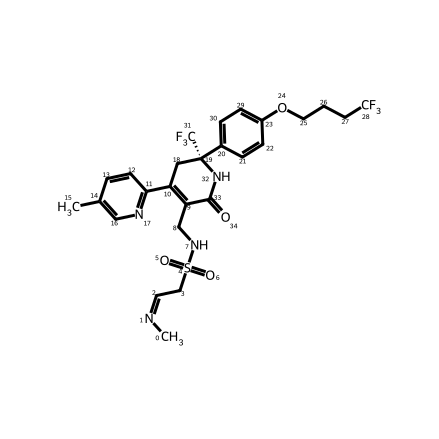 C/N=C\CS(=O)(=O)NCC1=C(c2ccc(C)cn2)C[C@](c2ccc(OCCCC(F)(F)F)cc2)(C(F)(F)F)NC1=O